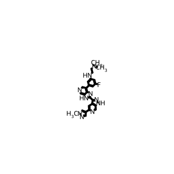 CN(C)CCNc1cc(F)cc(-c2cncc3[nH]c(-c4n[nH]c5cnc(-c6cnn(C)c6)cc45)nc23)c1